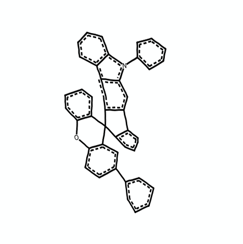 c1ccc(-c2ccc3c(c2)C2(c4ccccc4O3)c3ccccc3-c3cc4c(cc32)c2ccccc2n4-c2ccccc2)cc1